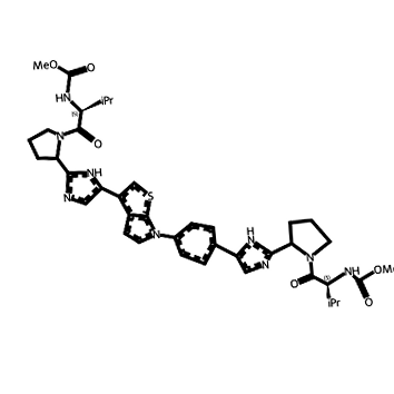 COC(=O)N[C@H](C(=O)N1CCCC1c1ncc(-c2ccc(-n3ccc4c(-c5cnc(C6CCCN6C(=O)[C@@H](NC(=O)OC)C(C)C)[nH]5)csc43)cc2)[nH]1)C(C)C